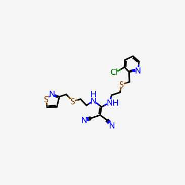 N#CC(C#N)=C(NCCSCc1ccsn1)NCCSCc1ncccc1Cl